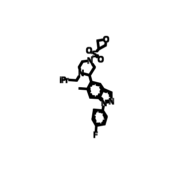 Cc1cc2c(cnn2-c2ccc(F)cc2)cc1C1CN(S(=O)(=O)C2COC2)CCN1CC(C)C